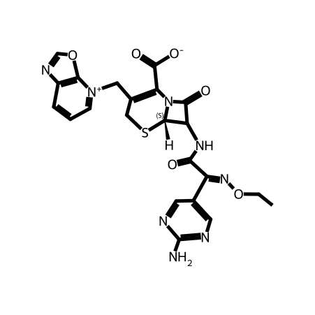 CCON=C(C(=O)NC1C(=O)N2C(C(=O)[O-])=C(C[n+]3cccc4ncoc43)CS[C@@H]12)c1cnc(N)nc1